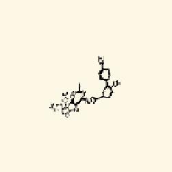 CC1(C)COc2nc3c(NCCc4ccc(O)c(-c5ccc(C#N)cc5)c4)nc(I)nc3n21